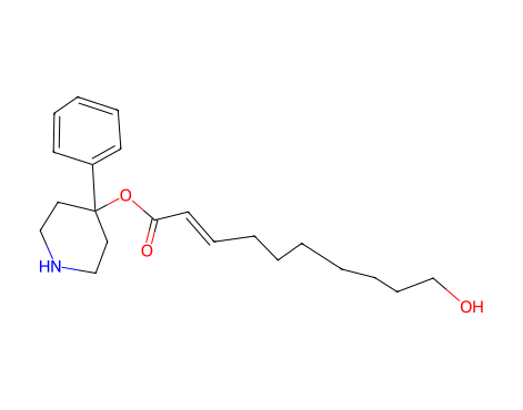 O=C(/C=C/CCCCCCCO)OC1(c2ccccc2)CCNCC1